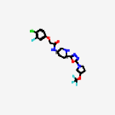 O=C(COc1ccc(Cl)c(F)c1)N[C@H]1CC[C@H](c2nnc(N3CCC(OC(F)(F)F)C3)o2)NC1